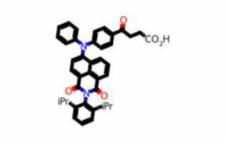 CC(C)c1cccc(C(C)C)c1N1C(=O)c2cccc3c(N(c4ccccc4)c4ccc(C(=O)CCC(=O)O)cc4)ccc(c23)C1=O